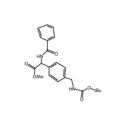 COC(=O)C(NC(=O)c1ccccc1)c1ccc(CNC(=O)OC(C)(C)C)cc1